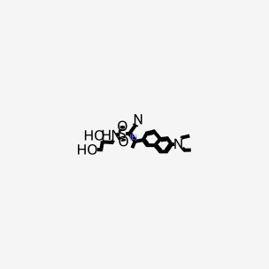 CCN(CC)c1ccc2cc(/C(C)=C(\C#N)S(=O)(=O)NCC(O)CO)ccc2c1